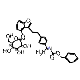 N/C(=N\C(=O)OCc1ccccc1)c1ccc(CCc2coc3cccc(O[C@@H]4O[C@H](CO)[C@@H](O)[C@H](O)[C@H]4O)c23)cc1